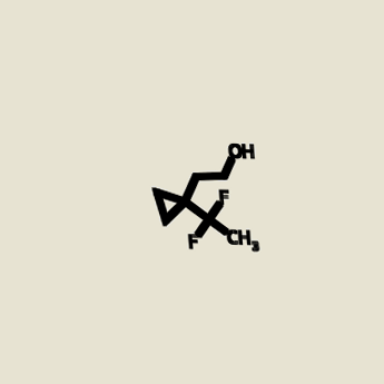 CC(F)(F)C1(CCO)CC1